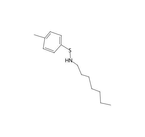 CCCCCCCNSc1ccc(C)cc1